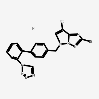 CCc1nc2c(CC)cn(Cc3ccc(-c4ccccc4-n4cnnn4)cc3)n2n1.[K]